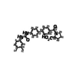 Cc1ccc(NC(=O)Nc2ccc(-c3ccc(C(=O)N4CCC[C@@H]4C(=O)O)cc3)cc2)cc1C